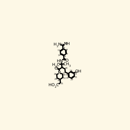 CC(C)(NC(=O)c1ccc(C(=N)N)cc1)C(CCc1cccc(O)c1)C(=O)N1CCC(CC(=O)O)CC1